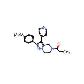 C=CC(=O)N1CCn2nc(-c3ccc(OC)cc3)c(-c3ccncc3)c2C1